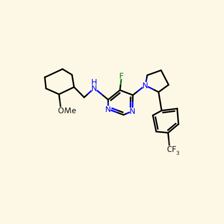 COC1CCCCC1CNc1ncnc(N2CCCC2c2ccc(C(F)(F)F)cc2)c1F